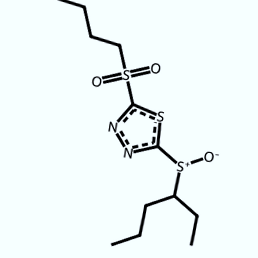 CCCCS(=O)(=O)c1nnc([S+]([O-])C(CC)CCC)s1